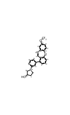 OC1CCN(c2cc(-c3cccc4c3C=Nc3cc(OC(F)(F)F)ccc3O4)ccn2)C1